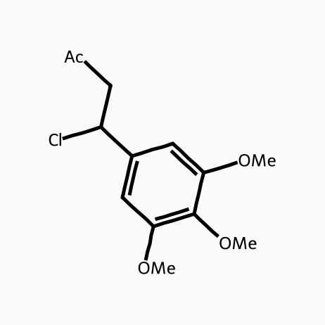 COc1cc(C(Cl)CC(C)=O)cc(OC)c1OC